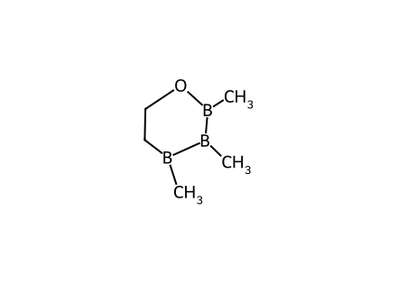 CB1CCOB(C)B1C